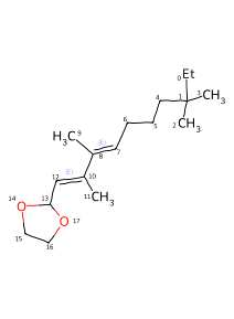 CCC(C)(C)CCC/C=C(C)/C(C)=C/C1OCCO1